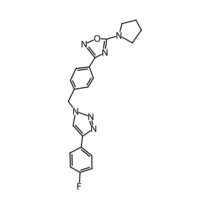 Fc1ccc(-c2cn(Cc3ccc(-c4noc(N5CCCC5)n4)cc3)nn2)cc1